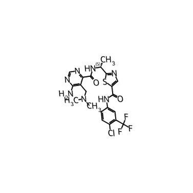 C[C@H](NC(=O)c1ncnc(N)c1CN(C)C)c1ncc(C(=O)Nc2ccc(Cl)c(C(F)(F)F)c2)s1